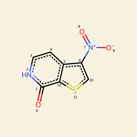 O=c1[nH]ccc2c([N+](=O)[O-])csc12